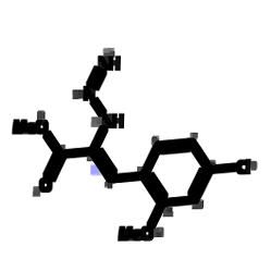 COC(=O)/C(=C/c1ccc(Cl)cc1OC)NN=N